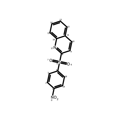 O=[N+]([O-])c1ccc(S(=O)(=O)c2ccc3ccccc3n2)cc1